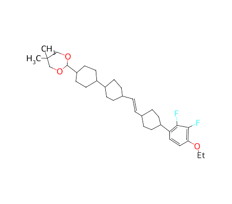 CCOc1ccc(C2CCC(C=CC3CCC(C4CCC(C5OCC(C)(C)CO5)CC4)CC3)CC2)c(F)c1F